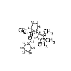 CC1=C(C)C(C)=C(c2cccc[c]2[Ti+2][O]Cc2ccccc2)C1.[Cl-].[Cl-]